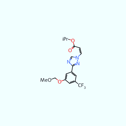 COCOc1cc(-c2ncn(/C=C\C(=O)OC(C)C)n2)cc(C(F)(F)F)c1